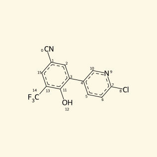 N#Cc1cc(-c2ccc(Cl)nc2)c(O)c(C(F)(F)F)c1